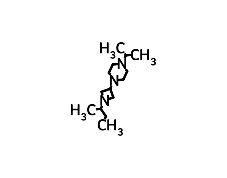 CCC(C)N1CC(N2CCN(C(C)C)CC2)C1